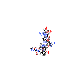 CCNC(=O)CNC(=O)[C@@H](Cc1ccc(O)cc1)NC(=O)[C@@H]1CCCN1C(=O)[C@H](NC(=O)[C@H](Cc1cnc[nH]1)NC(=O)[C@H]1CCCN1C(=O)[C@H](CO)NC(=O)[C@H](N)C(C)O)C(C)C